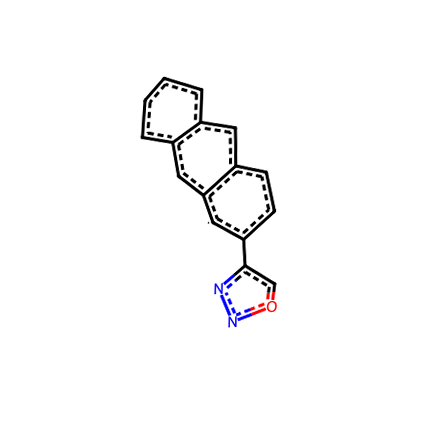 [c]1c(-c2conn2)ccc2cc3ccccc3cc12